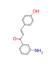 Nc1cccc(C(=O)/C=C/c2ccc(O)cc2)c1